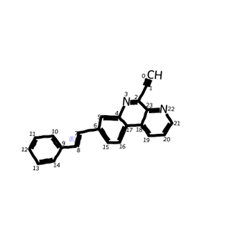 C#Cc1nc2cc(/C=C/c3ccccc3)ccc2c2cccnc12